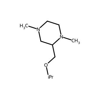 CC(C)OCC1CN(C)CCN1C